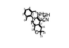 Cc1cccc(C)c1N1N=C2COC(C)(C)C=C2C(C#N)=C1N.Cl